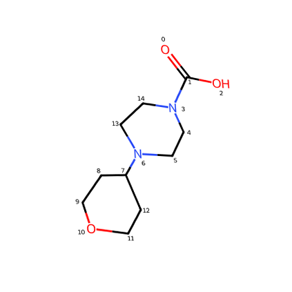 O=C(O)N1CCN(C2CCOCC2)CC1